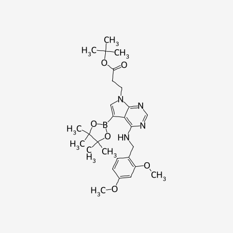 COc1ccc(CNc2ncnc3c2c(B2OC(C)(C)C(C)(C)O2)cn3CCC(=O)OC(C)(C)C)c(OC)c1